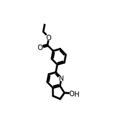 CCOC(=O)c1cccc(-c2ccc3c(n2)C(O)CC3)c1